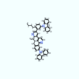 CCCCc1ccc(-n2c3ccccc3c3ccccc32)cc1-c1cncc(-c2ccnc(-c3cc(-n4c5ccccc5c5ccccc54)ccc3CCCC)c2)c1